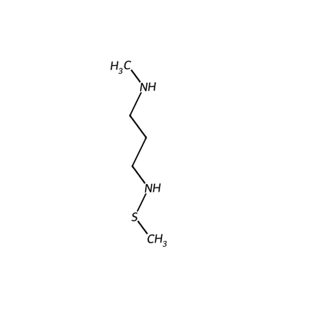 CNCCCNSC